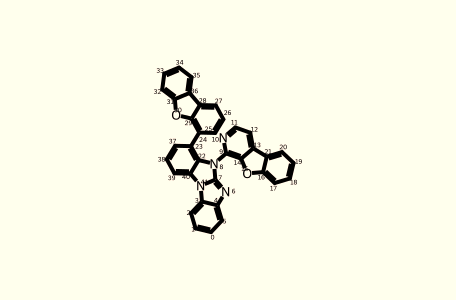 c1ccc2c(c1)nc1n(-c3nccc4c3oc3ccccc34)c3c(-c4cccc5c4oc4ccccc45)cccc3n21